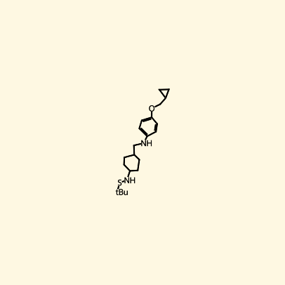 CC(C)(C)SNC1CCC(CNc2ccc(OCC3CC3)cc2)CC1